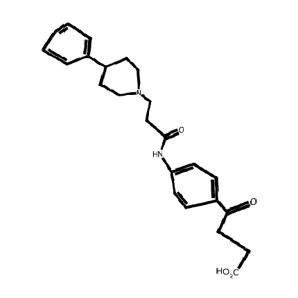 O=C(O)CCC(=O)c1ccc(NC(=O)CCN2CCC(c3ccccc3)CC2)cc1